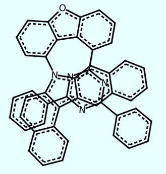 c1ccc(-c2nc(-c3ccccc3)nc(-c3cccc4oc5cccc(-n6c7cc8ccccc8cc7c7c8ccccc8ccc76)c5c34)n2)cc1